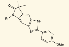 COc1ccc(-c2nc3cc4c(cc3[nH]2)C(C)(C)C(=O)N4C(C)C)cc1